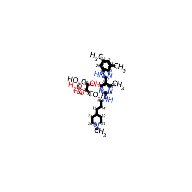 Cc1cc(C)c2nc(-c3cnc(NCCCC4CCN(C)CC4)nc3C)[nH]c2c1.O.O=C(O)C(O)C(O)C(=O)O